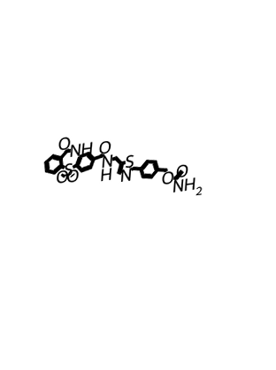 NC(=O)OCc1ccc(-c2ncc(CNC(=O)c3ccc4c(c3)NC(=O)c3ccccc3S4(=O)=O)s2)cc1